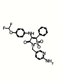 Nc1ccc(CN2C(=O)C(Nc3ccc(OC(F)F)cc3)=C(c3ccccc3)S2(=O)=O)cn1